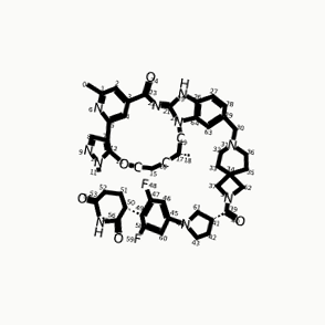 Cc1cc2cc(n1)-c1cnn(C)c1OCCC[C@@H](C)CN1/C(=N/C2=O)Nc2ccc(CN3CCC4(CC3)CN(C(=O)[C@@H]3CCN(c5cc(F)c([C@H]6CCC(=O)NC6=O)c(F)c5)C3)C4)cc21